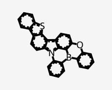 c1ccc2c(c1)Oc1ccc3c4c5sc6ccccc6c5ccc4n4c3c1B2c1ccccc1-4